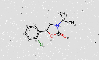 CC(C)N1CC(c2ccccc2Cl)OC1=O